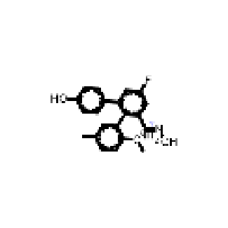 COc1ccc(C)cc1-c1c(/C(N)=N/O)cc(F)cc1-c1ccc(O)cc1